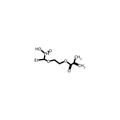 C=C(C)C(=O)OCCOC(CC)[PH](=O)O